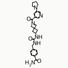 NC(=O)c1ccc(CNC(=O)NC2CC3(C2)CN(C(=O)c2cncc(N4CCCC4)c2)C3)cc1